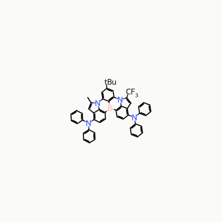 Cc1cc2c(N(c3ccccc3)c3ccccc3)ccc3c2n1-c1cc(C(C)(C)C)cc2c1B3c1ccc(N(c3ccccc3)c3ccccc3)c3cc(C(F)(F)F)n-2c13